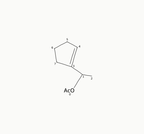 CC(=O)OC(C)C1=CCCC1